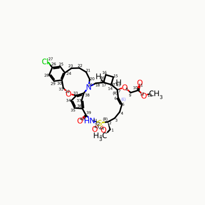 CC[C@@H]1CC/C=C/[C@H](OCC(=O)OC)[C@@H]2CC[C@H]2CN2CCCCc3cc(Cl)ccc3COc3ccc(cc32)C(=O)NS1(=O)=O